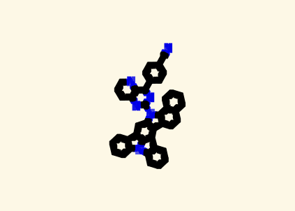 N#Cc1ccc(-c2nc(-n3c4cc5c6ccccc6n6c7ccccc7c(c4c4ccc7ccccc7c43)c56)nc3cccnc23)cc1